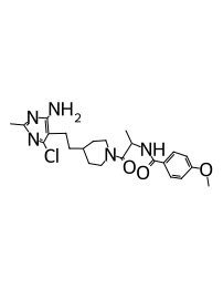 COc1ccc(C(=O)NC(C)C(=O)N2CCC(CCc3c(N)nc(C)nc3Cl)CC2)cc1